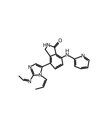 C/C=C\n1c(-c2ccc(Nc3ccccn3)c3c2CNC3=O)cnc1/N=C\C